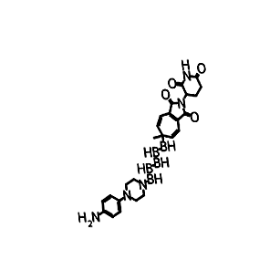 CC1(BBBBBN2CCN(c3ccc(N)cc3)CC2)C=CC2=C(C=C1)C(=O)N(C1CCC(=O)NC1=O)C2=O